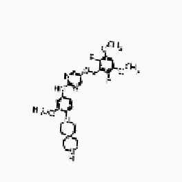 COc1cc(Nc2ncc(OCc3c(F)c(OC)cc(OC)c3F)cn2)ccc1N1CCC2(CCNCC2)CC1